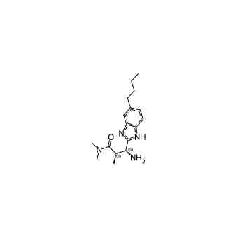 CCCCc1ccc2[nH]c([C@@H](N)[C@@H](C)C(=O)N(C)C)nc2c1